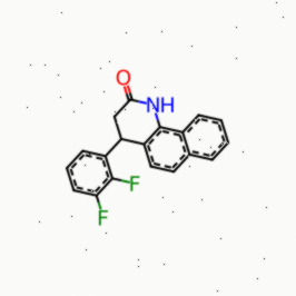 O=C1CC(c2cccc(F)c2F)c2ccc3ccccc3c2N1